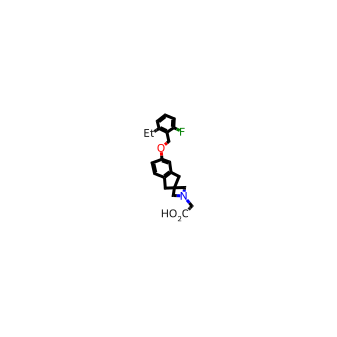 CCc1cccc(F)c1COc1ccc2c(c1)CC1(C2)CN(CC(=O)O)C1